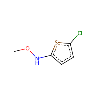 CONc1ccc(Cl)s1